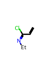 C=C/C(Cl)=N\CC